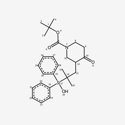 CC(C)(C)OC(=O)N1CCC(=O)C(CC(C)(C)[Si](O)(c2ccccc2)c2ccccc2)C1